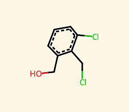 OCc1cccc(Cl)c1CCl